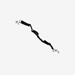 C=CC=CC=CC